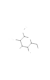 CC(=O)NC1C(ON)OC(CO)C(O)C1O